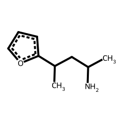 CC(N)CC(C)c1ccco1